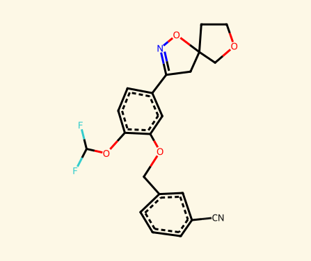 N#Cc1cccc(COc2cc(C3=NOC4(CCOC4)C3)ccc2OC(F)F)c1